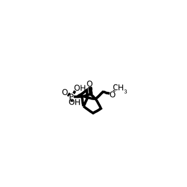 COCC12CCC(C(P(=O)(O)O)C1=O)C21CC1